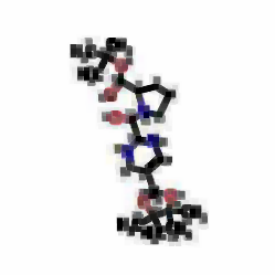 CC(C)(C)OC(=O)C1CCCN1C(=O)c1ncc(B2OC(C)(C)C(C)(C)O2)cn1